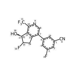 N#Cc1cc(F)cc(-c2cnc(C(F)(F)F)c3c2CC(F)[C@H]3O)c1